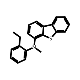 CCc1ccccc1N(C)c1cccc2c1sc1ccccc12